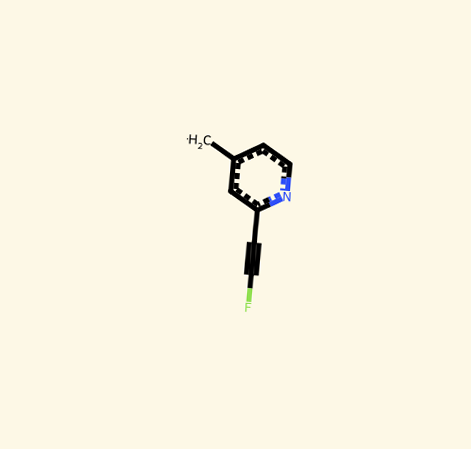 [CH2]c1ccnc(C#CF)c1